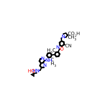 Cc1c(Nc2nccc3cc(CNCC4(O)CC4)cnc23)cccc1-c1cccc(-c2nc3cc(CN4CC[C@@](C)(C(=O)O)C4)cc(C#N)c3o2)c1C